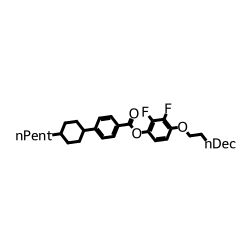 CCCCCCCCCCCCOc1ccc(OC(=O)c2ccc(C3CCC(CCCCC)CC3)cc2)c(F)c1F